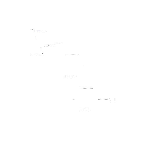 Nc1cccc(-c2ccc(OC3CN4CCC3CC4)cc2)c1